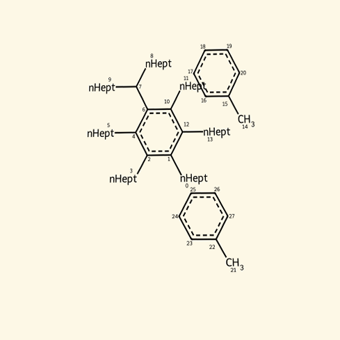 CCCCCCCc1c(CCCCCCC)c(CCCCCCC)c(C(CCCCCCC)CCCCCCC)c(CCCCCCC)c1CCCCCCC.Cc1ccccc1.Cc1ccccc1